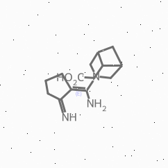 N=C1CCC/C1=C(/N)N1CC2CC(C1)C2CC(=O)O